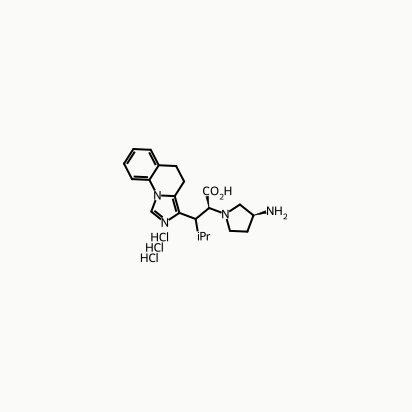 CC(C)C(c1ncn2c1CCc1ccccc1-2)[C@@H](C(=O)O)N1CC[C@H](N)C1.Cl.Cl.Cl